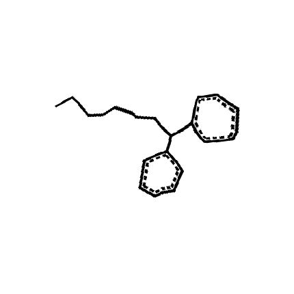 CCCCCCC(c1ccccc1)c1ccccc1